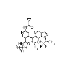 [2H]C([2H])([2H])NC(=O)c1cnc(NC(=O)C2CC2)cc1Nc1ncc2cnn([C@@H](C)C(F)(F)F)c2c1OC